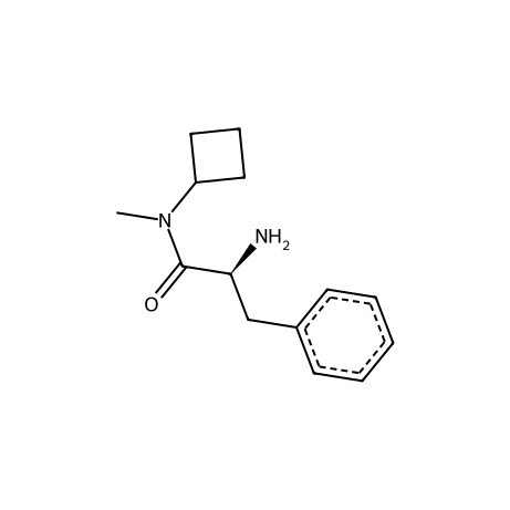 CN(C(=O)[C@@H](N)Cc1ccccc1)C1CCC1